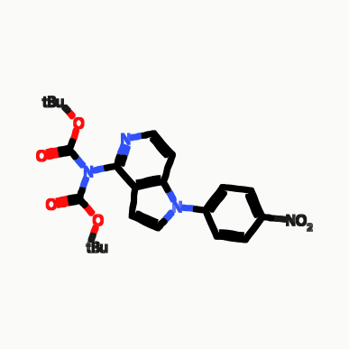 CC(C)(C)OC(=O)N(C(=O)OC(C)(C)C)c1nccc2c1ccn2-c1ccc([N+](=O)[O-])cc1